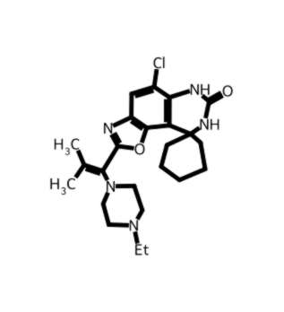 CCN1CCN(C(=C(C)C)c2nc3cc(Cl)c4c(c3o2)C2(CCCCC2)NC(=O)N4)CC1